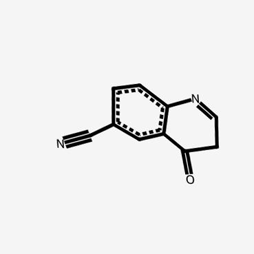 N#Cc1ccc2c(c1)C(=O)CC=N2